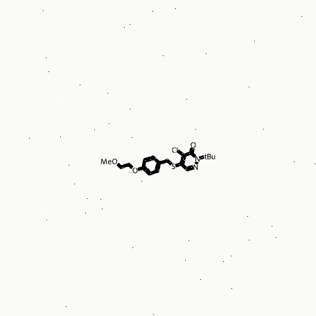 COCCOc1ccc(CSc2cnn(C(C)(C)C)c(=O)c2Cl)cc1